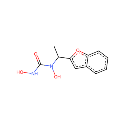 CC(c1cc2ccccc2o1)N(O)C(=O)NO